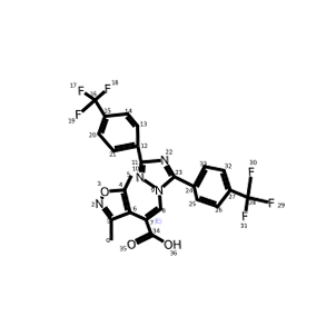 Cc1noc(C)c1/C(=C\n1nc(-c2ccc(C(F)(F)F)cc2)nc1-c1ccc(C(F)(F)F)cc1)C(=O)O